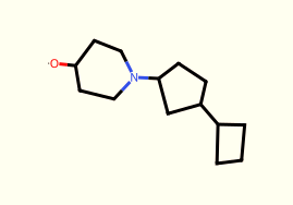 [O]C1CCN(C2CCC(C3CCC3)C2)CC1